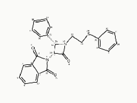 O=C1[C@H](N2C(=O)c3ccccc3C2=O)[C@H](c2ccccc2)N1CCSc1ccccc1